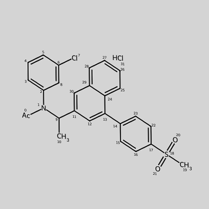 CC(=O)N(c1cccc(Cl)c1)C(C)c1cc(-c2ccc(S(C)(=O)=O)cc2)c2ccccc2c1.Cl